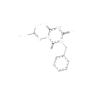 CC(C)=Nn1c(=O)[nH]c(=O)n(Cc2ccccc2)c1=O